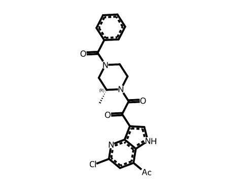 CC(=O)c1cc(Cl)nc2c(C(=O)C(=O)N3CCN(C(=O)c4ccccc4)C[C@H]3C)c[nH]c12